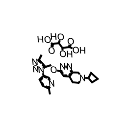 Cc1ccc(-n2nnc(C)c2COc2cc3c(nn2)CN(C2CCC2)CC3)cn1.O=C(O)C(O)C(O)C(=O)O